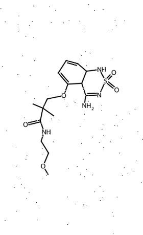 COCCNC(=O)C(C)(C)COC1=CC=CC2NS(=O)(=O)N=C(N)C12